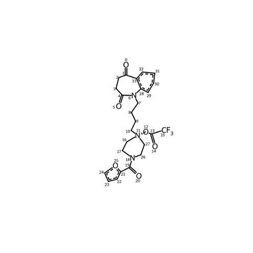 O=C1CCC(=O)N(CCCC[N+]2(OC(=O)C(F)(F)F)CCN(C(=O)c3ccco3)CC2)c2ccccc21